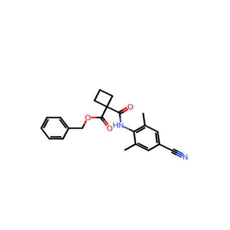 Cc1cc(C#N)cc(C)c1NC(=O)C1(C(=O)OCc2ccccc2)CCC1